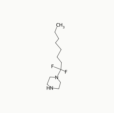 CCCCCCCC(F)(F)N1CCNCC1